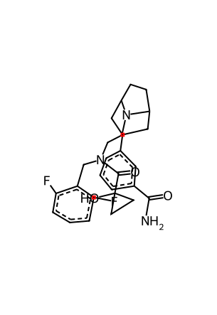 NC(=O)c1cccc(C2CC3CCC(C2)N3CCN(Cc2c(F)cccc2F)C(=O)C2(O)CC2)c1